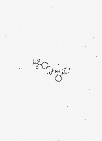 CN(C)S(=O)(=O)c1ccc(CC(=O)Nc2ccccc2N2CC3CCC2C3)cc1